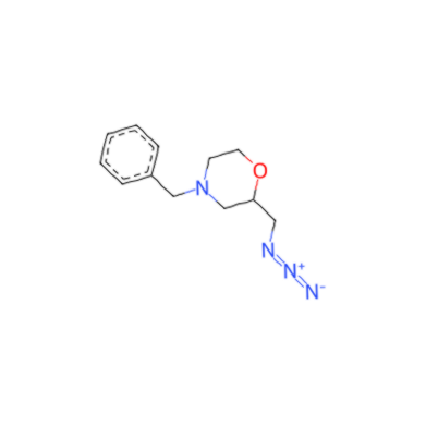 [N-]=[N+]=NCC1CN(Cc2ccccc2)CCO1